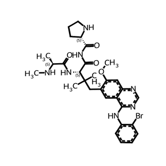 CN[C@@H](C)C(=O)N[C@H](C(=O)NC(=O)[C@@H]1CCCN1)C(C)(C)Cc1cc2c(Nc3ccccc3Br)ncnc2cc1OC